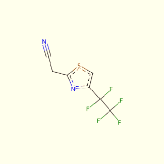 N#CCc1nc(C(F)(F)C(F)(F)F)cs1